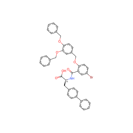 O=C(N[C@@H](Cc1ccc(-c2ccccc2)cc1)C(=O)O)c1cc(Br)ccc1OCc1ccc(OCc2ccccc2)c(OCc2ccccc2)c1